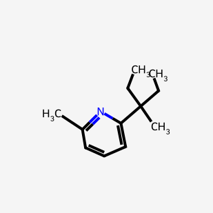 CCC(C)(CC)c1cccc(C)n1